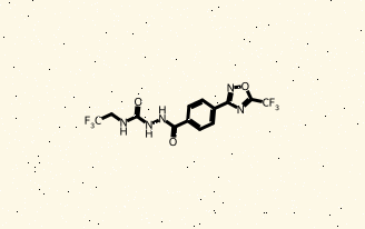 O=C(NCC(F)(F)F)NNC(=O)c1ccc(-c2noc(C(F)(F)F)n2)cc1